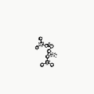 CC1(C)c2cc(C3=c4c(sc5cc(-c6nc(-c7ccccc7)nc(-c7ccccc7)n6)ccc45)=CCC3)ccc2-c2ccc(-c3cc(-c4ccccc4)nc(-c4ccccc4)n3)cc21